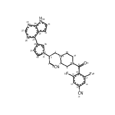 N#CCC(CN1CCN(C(=O)c2c(F)cc(C#N)cc2F)CC1)n1ccc(-c2ncnc3[nH]ccc23)c1